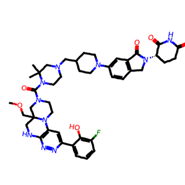 COCC12CNc3nnc(-c4cccc(F)c4O)cc3N1CCN(C(=O)N1CCN(CC3CCN(c4ccc5c(c4)C(=O)N([C@H]4CCC(=O)NC4=O)C5)CC3)CC1(C)C)C2